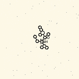 c1ccc(-c2cccc(C3=NC(c4cc5ccccc5c5ccccc45)NC(c4cc(C5CCc6cc7ccccc7cc6-c6ccccc65)c5c(c4)oc4ccccc45)=N3)c2)cc1